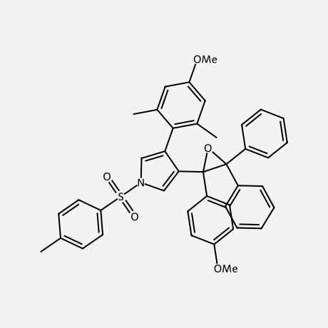 COc1ccc(C2(c3cn(S(=O)(=O)c4ccc(C)cc4)cc3-c3c(C)cc(OC)cc3C)OC2(c2ccccc2)c2ccccc2)cc1